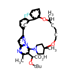 Cc1nc2cc3nn2c(c1[C@H](OC(C)(C)C)C(=O)O)N1CCC(C)(CC1)OCCCC[C@H](C)Oc1cccc(F)c1-c1cc-3ccc1F